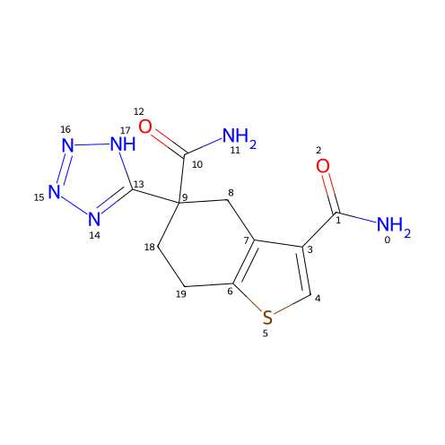 NC(=O)c1csc2c1CC(C(N)=O)(c1nnn[nH]1)CC2